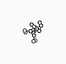 c1ccc2c3c4c(cc2c1)-n1c2c(cccc2c2ccc5ccccc5c21)B4n1c2ccc(C45CCCC(CCC4)C5)cc2c2cc(C45CCCC(CCC4)C5)cc-3c21